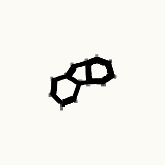 [C]1=NC=CC2=Cc3ccccc3C12